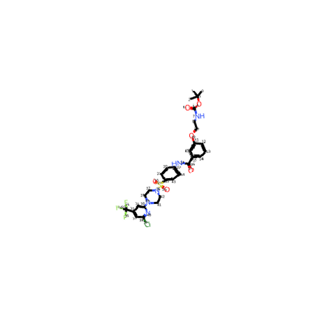 CC(C)(C)OC(=O)NCCOc1cccc(C(=O)Nc2ccc(S(=O)(=O)N3CCN(c4cc(C(F)(F)F)cc(Cl)n4)CC3)cc2)c1